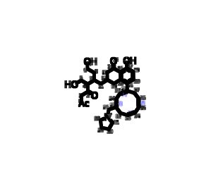 CC(=O)CC(=O)C(CO)C(CCO)CC1CC(=O)c2c(O)ccc(/C3=C/C=C(/CN4CCCC4)C/C=C\C=C/C3)c2C1